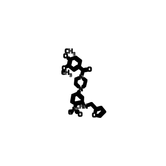 COc1ccc(C(=O)N2CCN(c3ccc([N+](=O)[O-])c(NCc4ccco4)c3)CC2)cc1OC